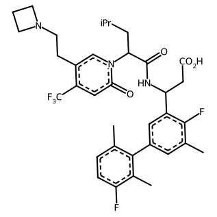 Cc1cc(-c2c(C)ccc(F)c2C)cc(C(CC(=O)O)NC(=O)C(CC(C)C)n2cc(CCN3CCC3)c(C(F)(F)F)cc2=O)c1F